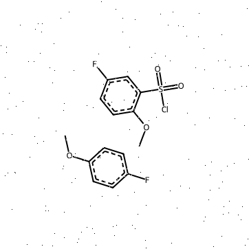 COc1ccc(F)cc1.COc1ccc(F)cc1S(=O)(=O)Cl